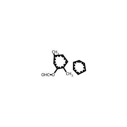 Cc1ccc(C)c(OC=O)c1.c1ccccc1